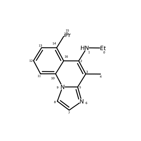 CCNc1c(C)c2nccn2c2cccc(C(C)C)c12